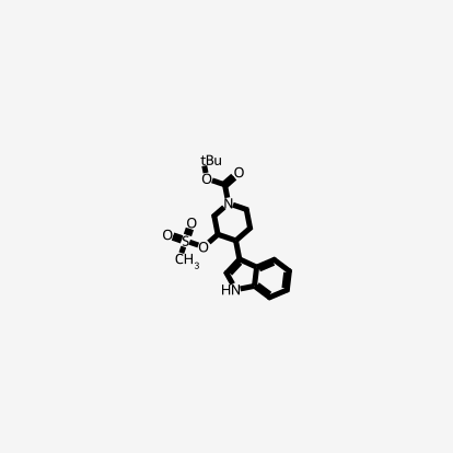 CC(C)(C)OC(=O)N1CCC(c2c[nH]c3ccccc23)C(OS(C)(=O)=O)C1